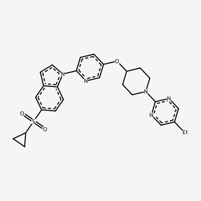 CCc1cnc(N2CCC(Oc3ccc(-n4ccc5cc(S(=O)(=O)C6CC6)ccc54)nc3)CC2)nc1